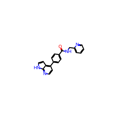 O=C(NCc1ccccn1)c1ccc(-c2ccnc3[nH]ccc23)cc1